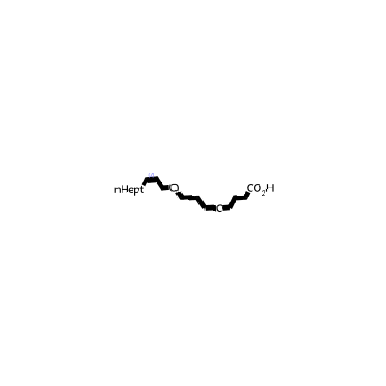 CCCCCCC/C=C\COCCC=C=CCCC(=O)O